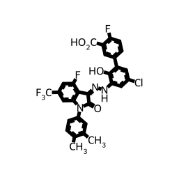 Cc1ccc(N2C(=O)/C(=N\Nc3cc(Cl)cc(-c4ccc(F)c(C(=O)O)c4)c3O)c3c(F)cc(C(F)(F)F)cc32)cc1C